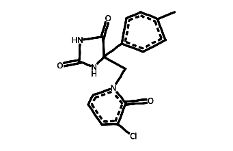 Cc1ccc(C2(Cn3cccc(Cl)c3=O)NC(=O)NC2=O)cc1